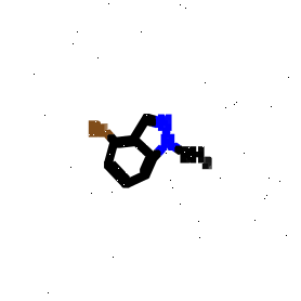 Bn1ncc2c(Br)cccc21